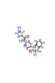 CC(NS(=O)(=O)c1ccc(NC(=O)C2CCNC2)nc1)c1ccccc1